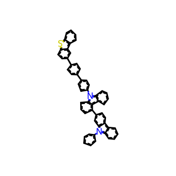 c1ccc(-n2c3ccccc3c3ccc(-c4cccc5c4c4ccccc4n5-c4ccc(-c5ccc(-c6ccc7sc8ccccc8c7c6)cc5)cc4)cc32)cc1